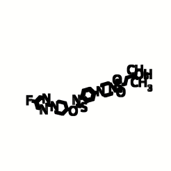 CC(C)(O)CCS(=O)(=O)N1CCN(c2ccc3nc(OC4CCN(c5ncc(F)cn5)CC4)sc3c2)CC1